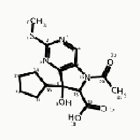 CSc1ncc2c(n1)C(O)(C1CCCC1)C(C(=O)O)N2C(C)=O